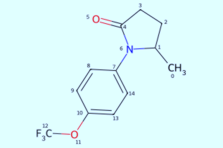 CC1CCC(=O)N1c1ccc(OC(F)(F)F)cc1